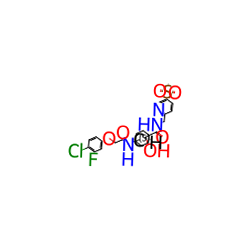 CS(=O)(=O)c1ccc(CNC(=O)C23CCC(NC(=O)COc4ccc(Cl)c(F)c4)(CC2)C[C@@H]3O)nc1